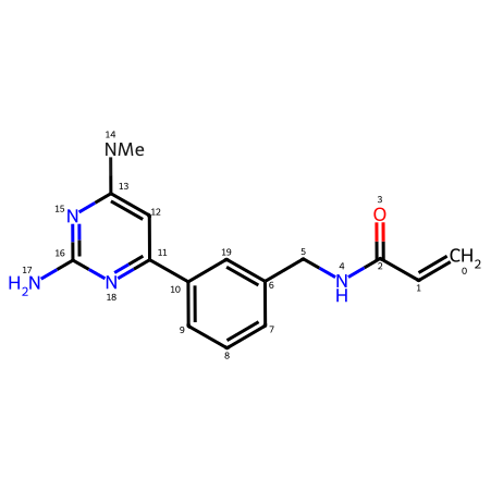 C=CC(=O)NCc1cccc(-c2cc(NC)nc(N)n2)c1